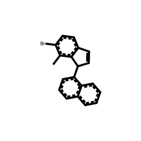 Cc1c(Br)ccc2c1C(c1cccc3ccccc13)C=C2